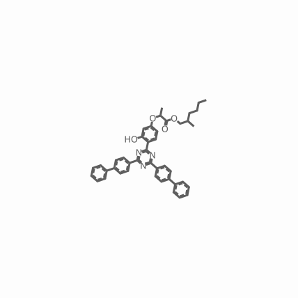 CCCCC(C)COC(=O)C(C)Oc1ccc(-c2nc(-c3ccc(-c4ccccc4)cc3)nc(-c3ccc(-c4ccccc4)cc3)n2)c(O)c1